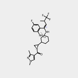 Cc1nn(C)cc1C(=O)N1CC1C1CCC[C@](C)(N/C(=C/C(C)C(F)(F)F)c2cc(F)ccc2N)C1